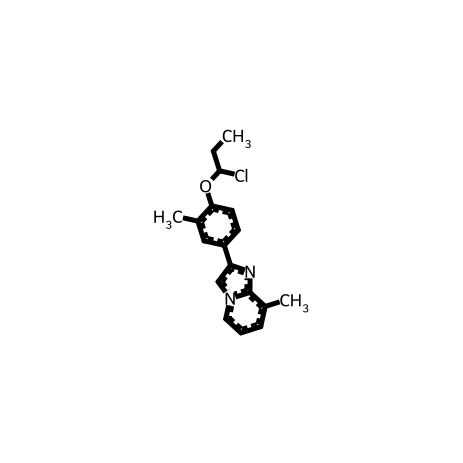 CCC(Cl)Oc1ccc(-c2cn3cccc(C)c3n2)cc1C